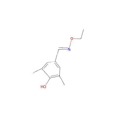 CCON=Cc1cc(C)c(O)c(C)c1